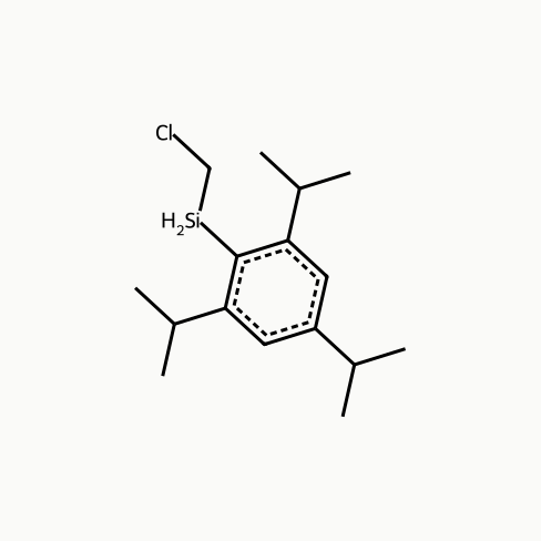 CC(C)c1cc(C(C)C)c([SiH2]CCl)c(C(C)C)c1